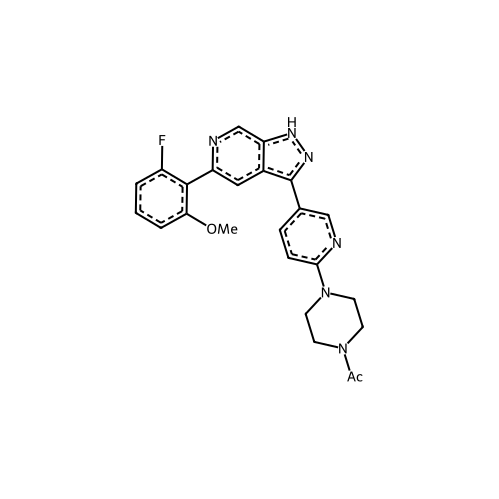 COc1cccc(F)c1-c1cc2c(-c3ccc(N4CCN(C(C)=O)CC4)nc3)n[nH]c2cn1